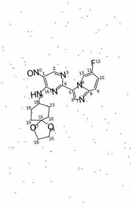 O=Nc1cnc(-c2cnc3ccc(F)cn23)nc1NC1CCC2(CC1)OCCO2